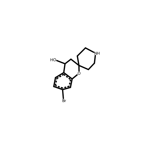 OC1CC2(CCNCC2)Oc2cc(Br)ccc21